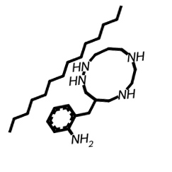 CCCCCCCCCCCCCC.Nc1ccccc1CC1CNCCNCCCNNC1